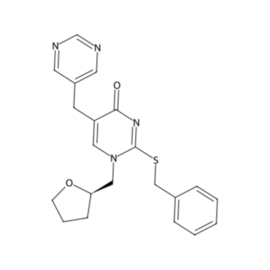 O=c1nc(SCc2ccccc2)n(C[C@H]2CCCO2)cc1Cc1cncnc1